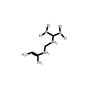 CC=C(C)[SiH2]C[SiH2]C(N(CC)CC)N(CC)CC